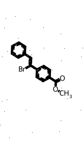 COC(=O)c1ccc(C(Br)=Cc2ccccc2)cc1